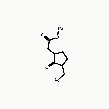 CC(=O)CC1CCC(CC(=O)OC(C)(C)C)C1=O